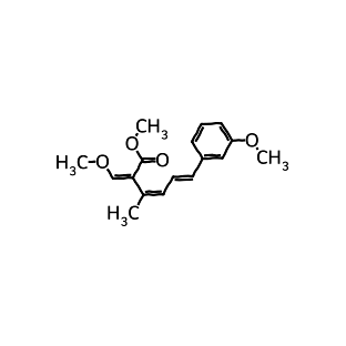 COC=C(C(=O)OC)C(C)=CC=Cc1cccc(OC)c1